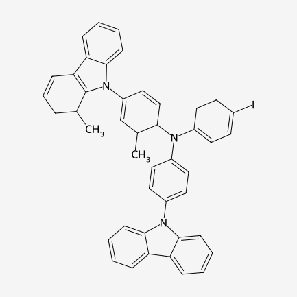 CC1CC=Cc2c1n(C1=CC(C)C(N(C3=CC=C(I)CC3)c3ccc(-n4c5ccccc5c5ccccc54)cc3)C=C1)c1ccccc21